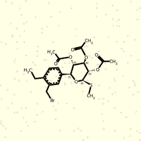 CCc1ccc([C@@H]2O[C@H](SC)[C@@H](OC(C)=O)[C@H](OC(C)=O)[C@H]2OC(C)=O)cc1CBr